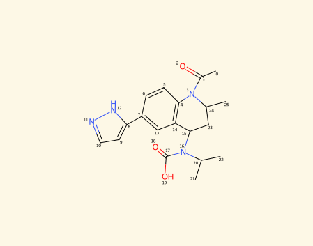 CC(=O)N1c2ccc(-c3ccn[nH]3)cc2C(N(C(=O)O)C(C)C)CC1C